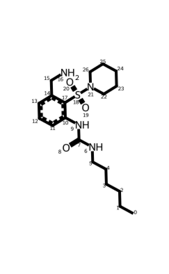 CCCCCCNC(=O)Nc1cccc(CN)c1S(=O)(=O)N1CCCCC1